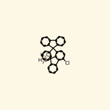 CC1(C)c2ccccc2-c2c(Cl)ccc(C3(c4ccccc4)c4ccccc4-c4ccccc43)c21